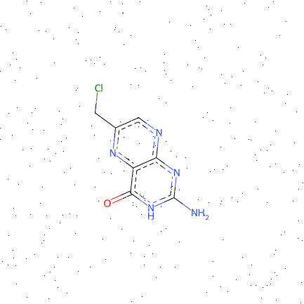 Nc1nc2ncc(CCl)nc2c(=O)[nH]1